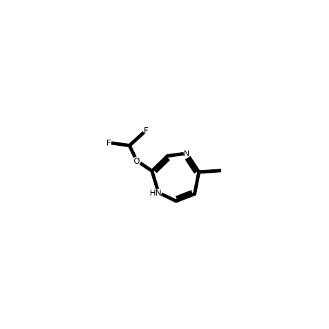 CC1=NC=C(OC(F)F)NC=C1